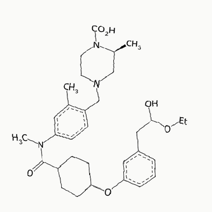 CCOC(O)Cc1cccc(OC2CCC(C(=O)N(C)c3ccc(CN4CCN(C(=O)O)[C@@H](C)C4)c(C)c3)CC2)c1